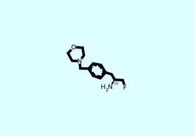 N[C@H](CF)Cc1ccc(CN2CCOCC2)cc1